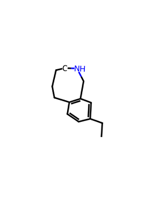 CCc1ccc2c(c1)CNCCCC2